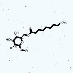 CCCCCCCCCCCCCCCCCC(=O)OC[C@H]1OC(OC(C)C)[C@H](O)[C@@H](O)[C@@H]1O